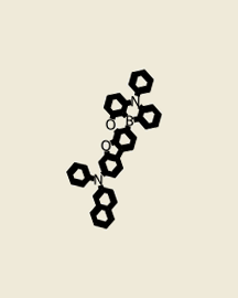 c1ccc(N(c2ccc3ccccc3c2)c2ccc3c(c2)oc2c4c(ccc23)B2c3ccccc3N(c3ccccc3)c3cccc(c32)O4)cc1